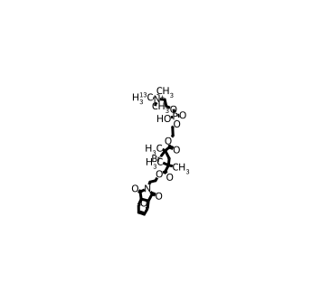 CC(C)(CC(C)(Br)C(=O)OCCOP(=O)(O)OCC[N+](C)(C)[13CH3])C(=O)OCCN1C(=O)C2C3C=CC(O3)C2C1=O